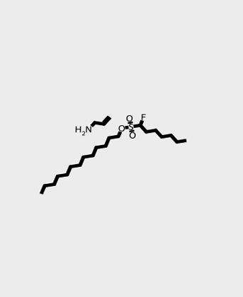 C=CCN.CCCCCCCCCCCCCOS(=O)(=O)C(F)CCCCCC